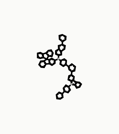 c1ccc(-c2ccc(-n3c4ccccc4c4cc(-c5cccc(-c6ccc(N(c7ccc8c(c7)C7(c9ccccc9-c9ccccc97)c7ccccc7-8)c7ccc8cc(-c9ccccc9)ccc8c7)cc6)c5)ccc43)cc2)cc1